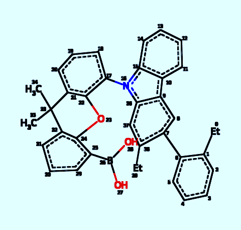 CCc1ccccc1-c1cc2c3ccccc3n(-c3cccc4c3Oc3c(B(O)O)cccc3C4(C)C)c2cc1CC